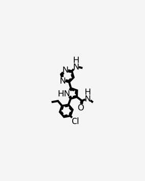 CCc1ccc(Cl)cc1-c1[nH]c(-c2cc(NC)ncn2)cc1C(=O)NC